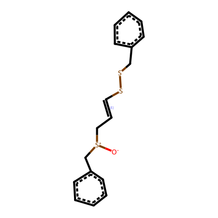 [O-][S+](C/C=C/SSCc1ccccc1)Cc1ccccc1